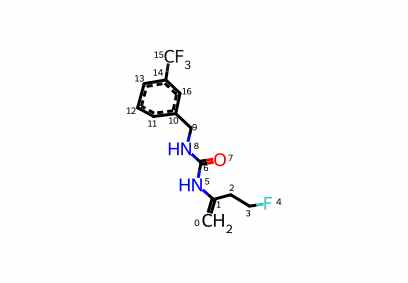 C=C(CCF)NC(=O)NCc1cccc(C(F)(F)F)c1